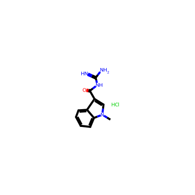 Cl.Cn1cc(C(=O)NC(=N)N)c2ccccc21